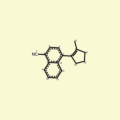 CC1=C(c2ccc(C#N)c3ccccc23)CCC1